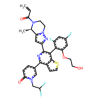 C=CC(=O)N1CCn2nc(-c3nc(-c4ccc(=O)n(CC(F)F)c4)c4ccsc4c3-c3c(F)cc(F)cc3OCCO)cc2[C@H]1C